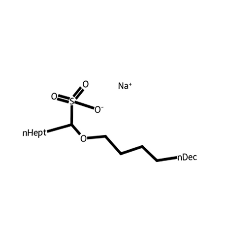 CCCCCCCCCCCCCCOC(CCCCCCC)S(=O)(=O)[O-].[Na+]